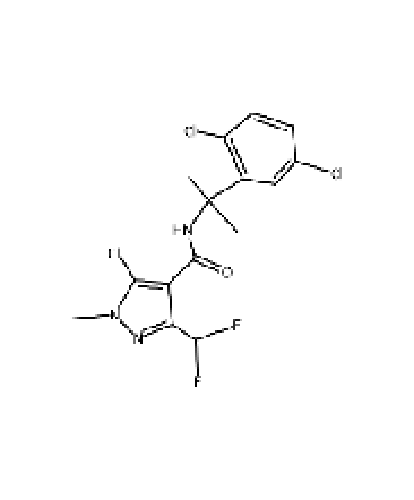 Cn1nc(C(F)F)c(C(=O)NC(C)(C)c2cc(Cl)ccc2Cl)c1Cl